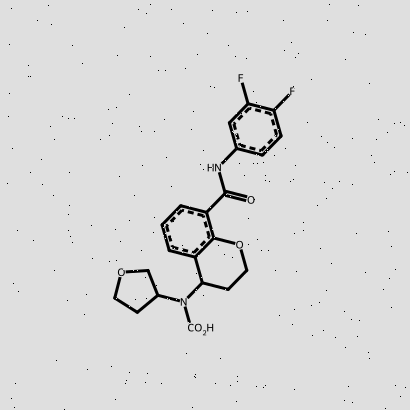 O=C(Nc1ccc(F)c(F)c1)c1cccc2c1OCCC2N(C(=O)O)C1CCOC1